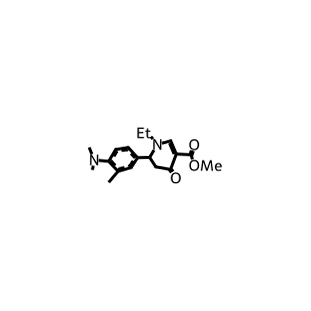 CCN1C=C(C(=O)OC)C(=O)CC1c1ccc(N(C)C)c(C)c1